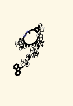 COc1cc2cc(c1Cl)N(C)C(=O)CC(OC(=O)C(C)N(C)C(=O)CNC(=O)CNC(=O)CNC(=O)OCC1c3ccccc3-c3ccccc31)C1(C)OC1C(C)C1CC(O)(NC(=O)O1)C(OC)/C=C/C=C(\C)C2